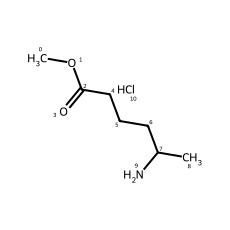 COC(=O)CCCC(C)N.Cl